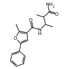 Cc1oc(-c2ccccc2)cc1C(=O)NC(C)C(C)C(N)=O